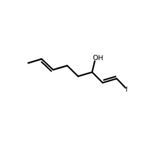 CC=CCCC(O)C=CI